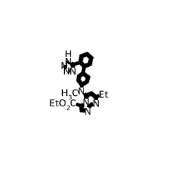 CCOC(=O)c1cnc2nc(CC)cc(N(C)c3ccc(-c4ccccc4-c4nnn[nH]4)cc3)n12